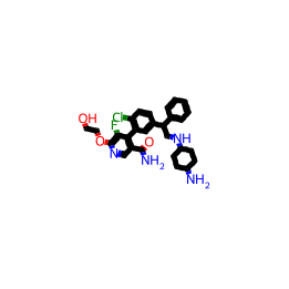 NC(=O)c1cnc(OCCO)c(F)c1-c1cc(C(CNC2CCC(N)CC2)c2ccccc2)ccc1Cl